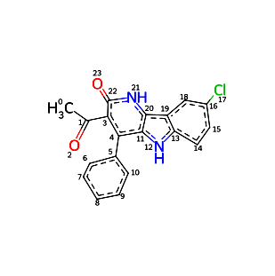 CC(=O)c1c(-c2ccccc2)c2[nH]c3ccc(Cl)cc3c2[nH]c1=O